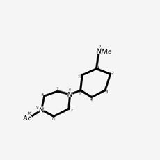 CNC1CCCC(N2CCN(C(C)=O)CC2)C1